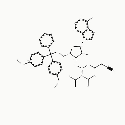 COc1ccc(C(OC[C@H]2O[C@@H](n3ccc4c(Cl)ncnc43)[C@@H](F)[C@@H]2OP(OCCC#N)N(C(C)C)C(C)C)(c2ccccc2)c2ccc(OC)cc2)cc1